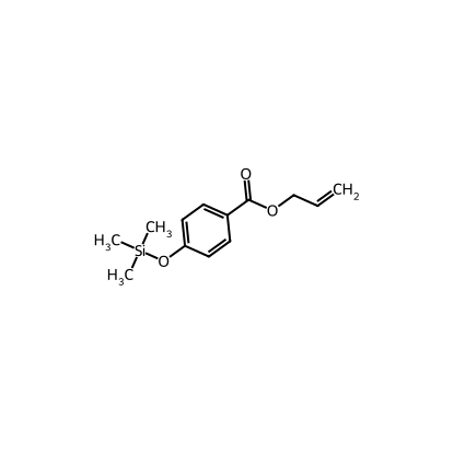 C=CCOC(=O)c1ccc(O[Si](C)(C)C)cc1